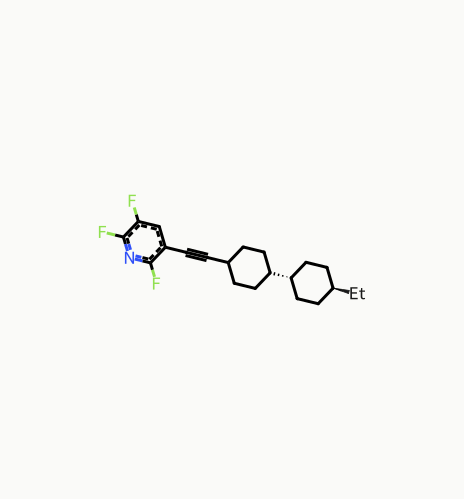 CC[C@H]1CC[C@H](C2CCC(C#Cc3cc(F)c(F)nc3F)CC2)CC1